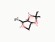 CC(C)C1OCC2OC(C)(C)OC21